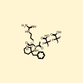 CC(=O)N(NC1(Cc2ccccc2)CCCNC1=O)[C@H](C=O)CCCNC(=N)N.O=C(O)C(F)(F)F.O=C(O)C(F)(F)F